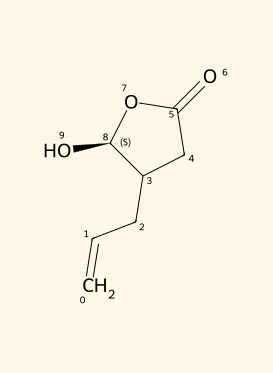 C=CCC1CC(=O)O[C@@H]1O